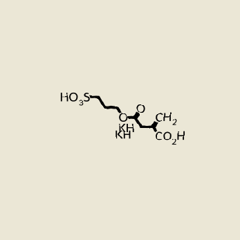 C=C(CC(=O)OCCCS(=O)(=O)O)C(=O)O.[KH].[KH]